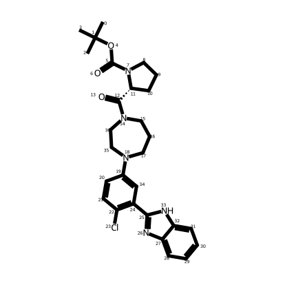 CC(C)(C)OC(=O)N1CCC[C@@H]1C(=O)N1CCCN(c2ccc(Cl)c(-c3nc4ccccc4[nH]3)c2)CC1